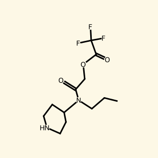 CCCN(C(=O)COC(=O)C(F)(F)F)C1CCNCC1